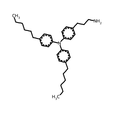 CCCCCCc1ccc(N(c2ccc(CCCN)cc2)c2ccc(CCCCCC)cc2)cc1